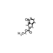 CCOC(=O)N1CC2=CC=C[NH+]([O-])C2C1